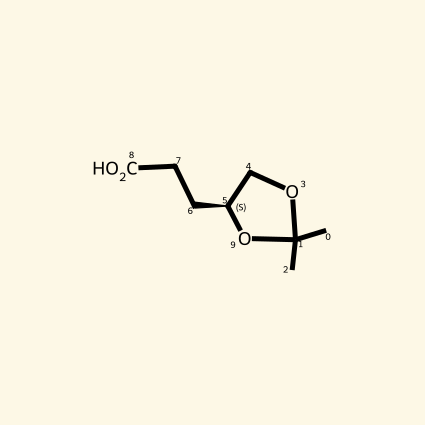 CC1(C)OC[C@H](CCC(=O)O)O1